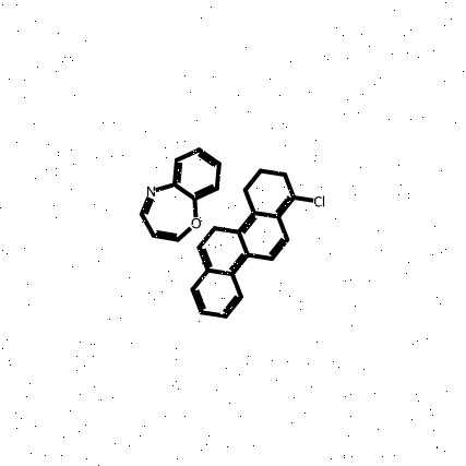 C1=COc2ccccc2N=C1.ClC1=c2ccc3c(c2CCC1)CC=c1ccccc1=3